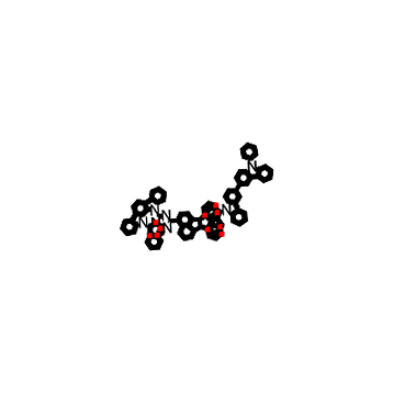 c1ccc(-c2nc(-c3ccc4c5c(cccc35)C35c6ccccc6-c6ccccc6C43c3ccc(-n4c6ccccc6c6cc(-c7ccc8c(c7)c7ccccc7n8-c7ccccc7)ccc64)c4cccc5c34)nc(-n3c4ccccc4c4ccc5c6ccccc6n(-c6ccccc6)c5c43)n2)cc1